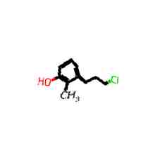 Cc1c(O)cccc1CCCCl